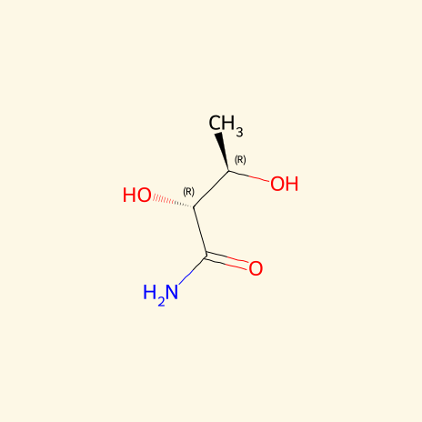 C[C@@H](O)[C@@H](O)C(N)=O